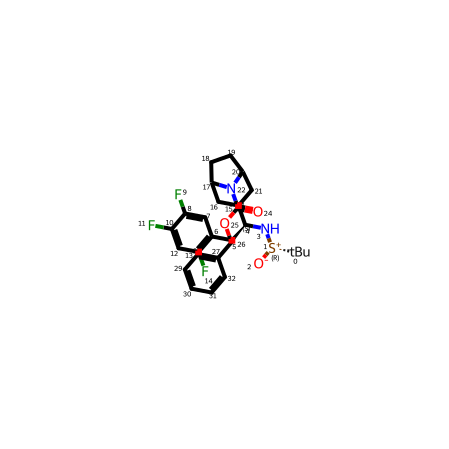 CC(C)(C)[S@+]([O-])N[C@@H](Cc1cc(F)c(F)cc1F)C1CC2CCC(C1)N2C(=O)OCc1ccccc1